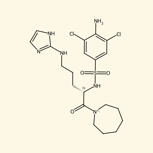 Nc1c(Cl)cc(S(=O)(=O)N[C@@H](CCCNc2ncc[nH]2)C(=O)[N+]2CCCCCC2)cc1Cl